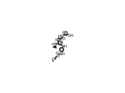 COCCOC(=O)N[C@H]1CC[C@H](Nc2cc(NC3CC3)c3ncc(C(=O)Nc4cc(O)ncn4)n3n2)CC1